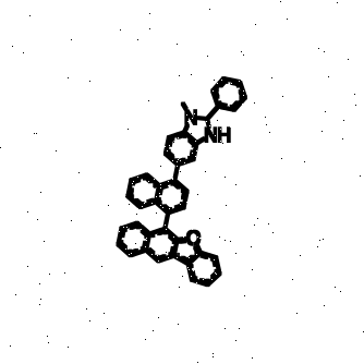 CN1c2ccc(-c3ccc(-c4c5ccccc5cc5c4oc4ccccc45)c4ccccc34)cc2NC1c1ccccc1